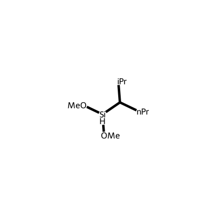 CCCC(C(C)C)[SiH](OC)OC